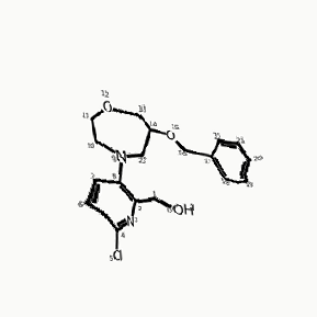 OCc1nc(Cl)ccc1N1CCOCC(OCc2ccccc2)C1